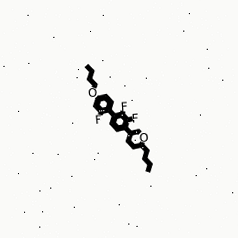 CCCCOc1ccc(-c2ccc(C3CCC(CCCC)OC3)c(F)c2F)c(F)c1